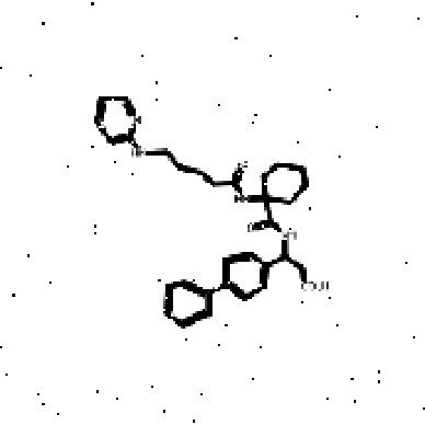 O=C(O)CC(NC(=O)C1(NC(=O)CCCCNc2ccccn2)CCCCC1)c1ccc(-c2ccccc2)cc1